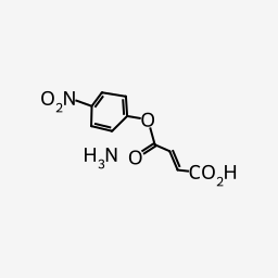 N.O=C(O)C=CC(=O)Oc1ccc([N+](=O)[O-])cc1